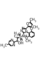 COc1cccc(OC)c1-n1c(NS(=O)(=O)[C@H](C)[C@@H](O)c2ncc(C)cn2)nnc1-c1ccc(C)o1